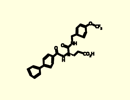 O=C(O)CC[C@H](NC(=O)c1ccc(-c2ccccc2)cc1)C(=O)NCc1ccc(OC(F)(F)F)cc1